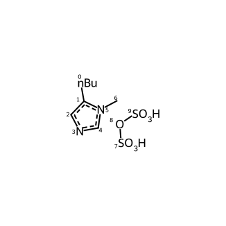 CCCCc1cncn1C.O=S(=O)(O)OS(=O)(=O)O